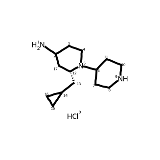 Cl.NC1CCN(C2CCNCC2)[C@H](CC2CC2)C1